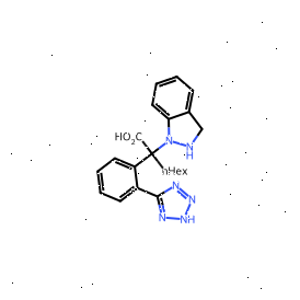 CCCCCCC(C(=O)O)(c1ccccc1-c1nn[nH]n1)N1NCc2ccccc21